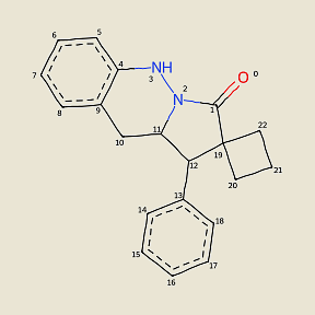 O=C1N2Nc3ccccc3CC2C(c2ccccc2)C12CCC2